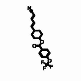 N#CC=CC=CC1CCC(OC(=O)c2ccc(OC(F)(F)F)cc2)CC1